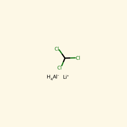 ClC(Cl)Cl.[AlH4-].[Li+]